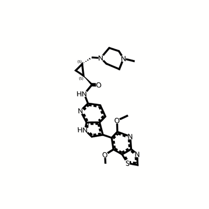 COc1nc2ncsc2c(OC)c1-c1c[nH]c2nc(NC(=O)[C@H]3C[C@@H]3CN3CCN(C)CC3)ccc12